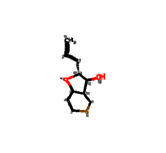 C=CC[C@H]1OC2CCSCC2C1O